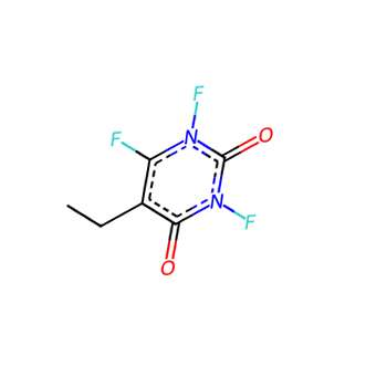 CCc1c(F)n(F)c(=O)n(F)c1=O